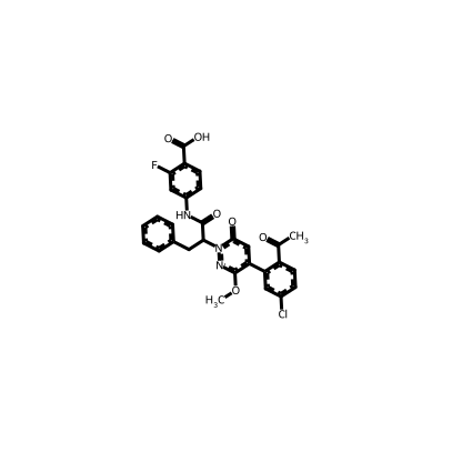 COc1nn(C(Cc2ccccc2)C(=O)Nc2ccc(C(=O)O)c(F)c2)c(=O)cc1-c1cc(Cl)ccc1C(C)=O